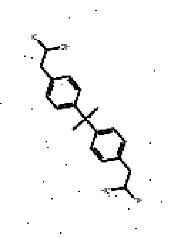 CC(C)(c1ccc(CC(O)O)cc1)c1ccc(CC(O)O)cc1